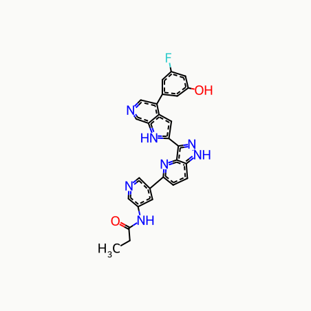 CCC(=O)Nc1cncc(-c2ccc3[nH]nc(-c4cc5c(-c6cc(O)cc(F)c6)cncc5[nH]4)c3n2)c1